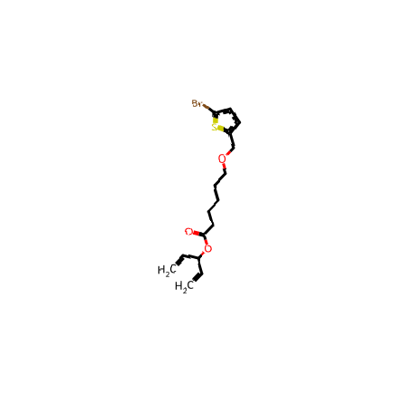 C=CC(C=C)OC(=O)CCCCCOCc1ccc(Br)s1